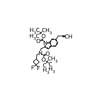 C#CCc1ccc2cc(CN(CC3CC(F)(F)C3)C(=O)OC(C)(C)C)n(C(=O)OC(C)(C)C)c2c1